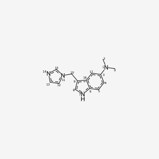 CN(C)c1ccc2[nH]cc(Cn3ccnc3)c2c1